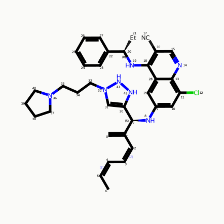 C=C(/C=C\C=C/C)[C@H](Nc1cc(Cl)c2ncc(C#N)c(N[C@H](CC)c3ccccc3)c2c1)C1=CN(CCCN2CCCC2)NN1